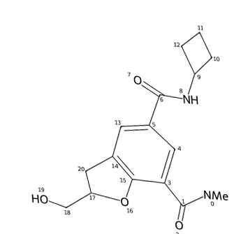 CNC(=O)c1cc(C(=O)NC2CCC2)cc2c1OC(CO)C2